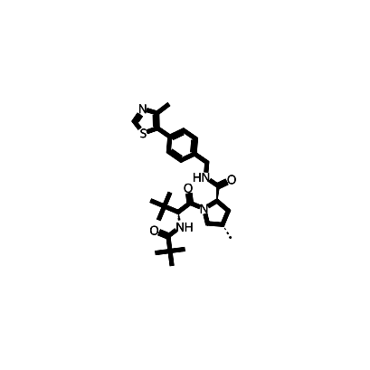 Cc1ncsc1-c1ccc(CNC(=O)[C@H]2C[C@H](C)CN2C(=O)[C@H](NC(=O)C(C)(C)C)C(C)(C)C)cc1